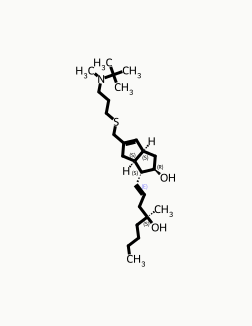 CCCC[C@](C)(O)C/C=C/[C@@H]1[C@H]2CC(CSCCCN(C)C(C)(C)C)=C[C@H]2C[C@H]1O